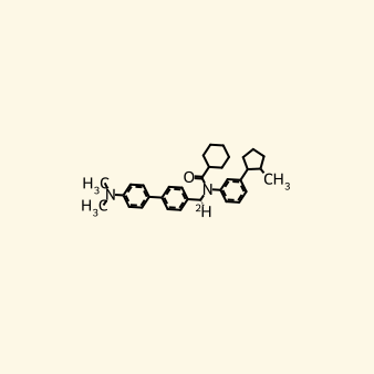 [2H][C@H](c1ccc(-c2ccc(N(C)C)cc2)cc1)N(C(=O)C1CCCCC1)c1cccc(C2CCCC2C)c1